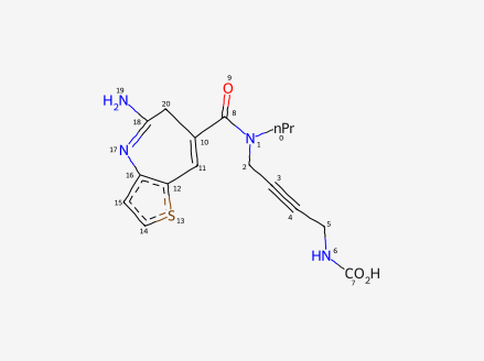 CCCN(CC#CCNC(=O)O)C(=O)C1=Cc2sccc2N=C(N)C1